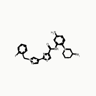 Nc1ccc(N2CCCC(N)C2)c(NC(=O)c2csc(-c3cnn(Cc4ccccc4F)c3)n2)c1